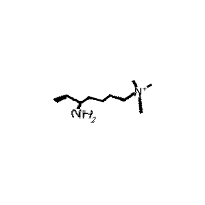 C=CC(N)CCCC[N+](C)(C)C